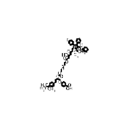 CC(C)C1=C(C(=O)Nc2ccccc2)C(c2ccccc2)C(c2ccc(F)cc2)N1CC[C@@H](O)C[C@@H](O)CC(=O)OCCSSCCOC(=O)OC(CCc1ccc(C(C)(C)C)cc1)COc1ccc(C(=O)O)cc1